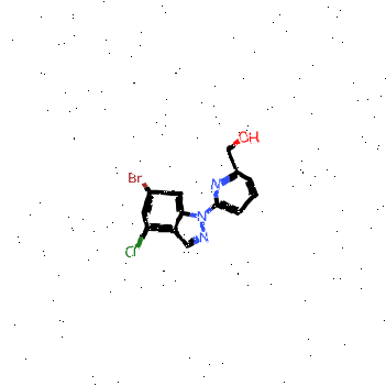 OCc1cccc(-n2ncc3c(Cl)cc(Br)cc32)n1